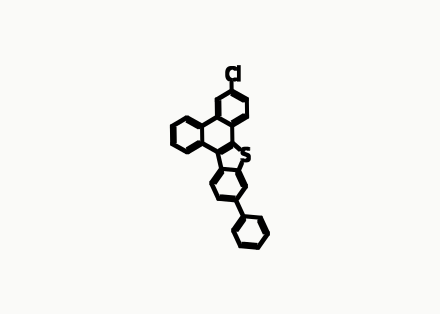 Clc1ccc2c(c1)c1ccccc1c1c3ccc(-c4ccccc4)cc3sc21